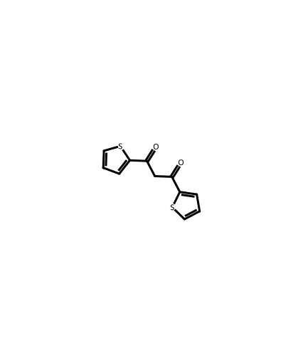 O=C(CC(=O)c1cccs1)c1cccs1